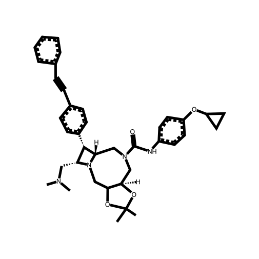 CN(C)C[C@@H]1[C@H](c2ccc(C#Cc3ccccc3)cc2)[C@@H]2CN(C(=O)Nc3ccc(OC4CC4)cc3)C[C@H]3OC(C)(C)OC3CN12